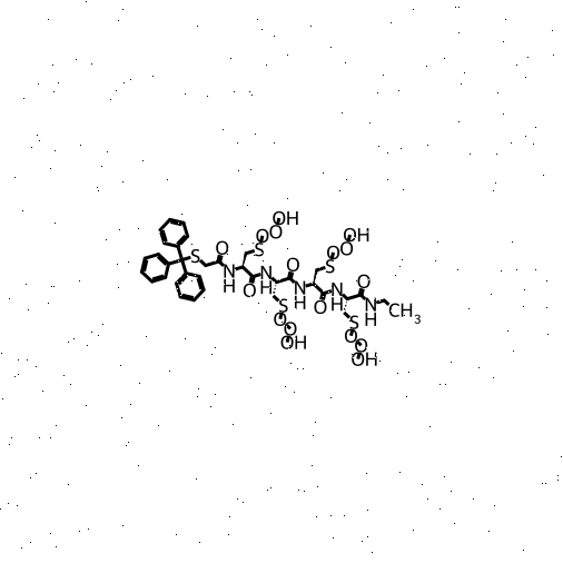 CCNC(=O)[C@H](CSOOO)NC(=O)[C@H](CSOOO)NC(=O)[C@H](CSOOO)NC(=O)[C@H](CSOOO)NC(=O)CSC(c1ccccc1)(c1ccccc1)c1ccccc1